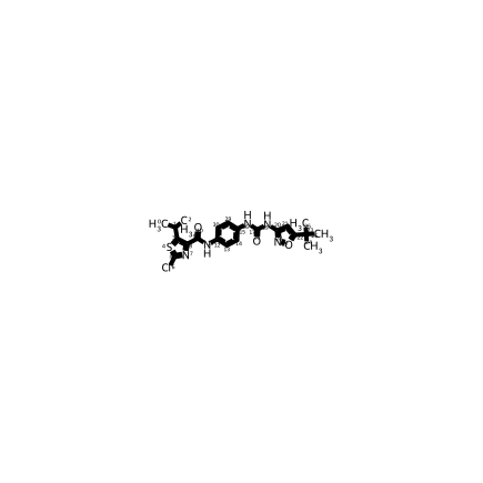 CC(C)c1sc(Cl)nc1C(=O)Nc1ccc(NC(=O)Nc2cc(C(C)(C)C)on2)cc1